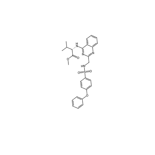 COC(=O)[C@@H](Nc1nc(CNS(=O)(=O)c2ccc(Oc3ccccc3)cc2)nc2ccccc12)C(C)C